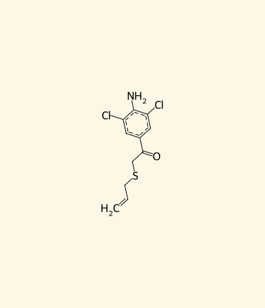 C=CCSCC(=O)c1cc(Cl)c(N)c(Cl)c1